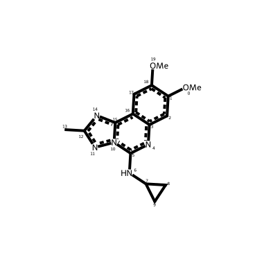 COc1cc2nc(NC3CC3)n3nc(C)nc3c2cc1OC